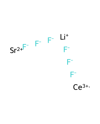 [Ce+3].[F-].[F-].[F-].[F-].[F-].[F-].[Li+].[Sr+2]